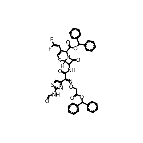 O=CNc1nc(C(=NOCC(=O)OC(c2ccccc2)c2ccccc2)C(=O)NC2C(=O)N3C(C(=O)OC(c4ccccc4)c4ccccc4)C(C=C(F)F)=CS[C@@H]23)cs1